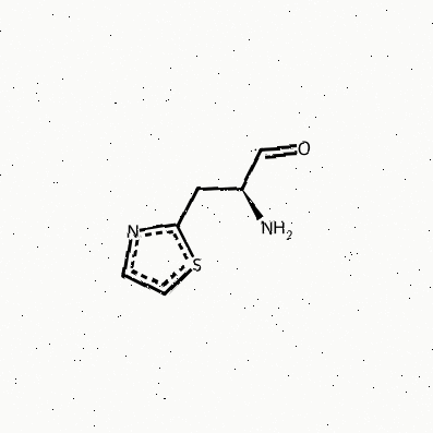 N[C@H]([C]=O)Cc1nccs1